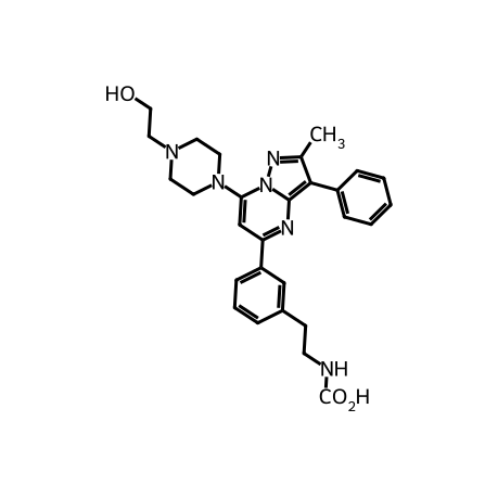 Cc1nn2c(N3CCN(CCO)CC3)cc(-c3cccc(CCNC(=O)O)c3)nc2c1-c1ccccc1